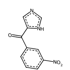 O=C(c1cccc([N+](=O)[O-])c1)c1cnc[nH]1